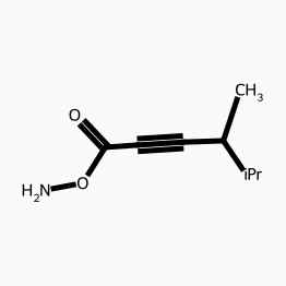 CC(C)C(C)C#CC(=O)ON